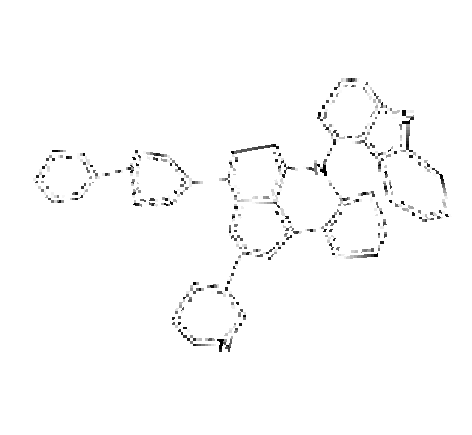 c1ccc(-c2ccc(-c3ccc4c5c(cc(-c6cccnc6)cc35)-c3ccccc3N4c3cccc4sc5ccccc5c34)cc2)cc1